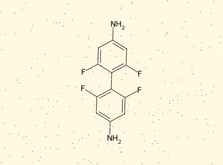 Nc1cc(F)c(-c2c(F)cc(N)cc2F)c(F)c1